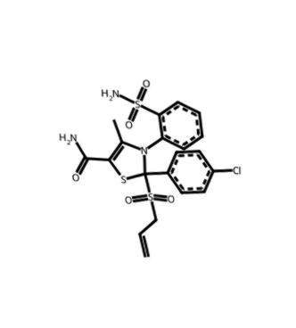 C=CCS(=O)(=O)C1(c2ccc(Cl)cc2)SC(C(N)=O)=C(C)N1c1ccccc1S(N)(=O)=O